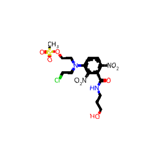 CS(=O)(=O)OCCN(CCCl)c1ccc([N+](=O)[O-])c(C(=O)NCCCO)c1[N+](=O)[O-]